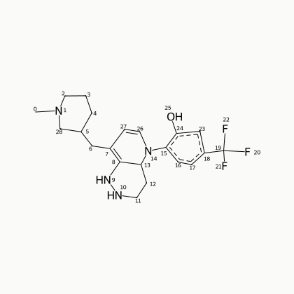 CN1CCCC(CC2=C3NNCCC3N(c3ccc(C(F)(F)F)cc3O)C=C2)C1